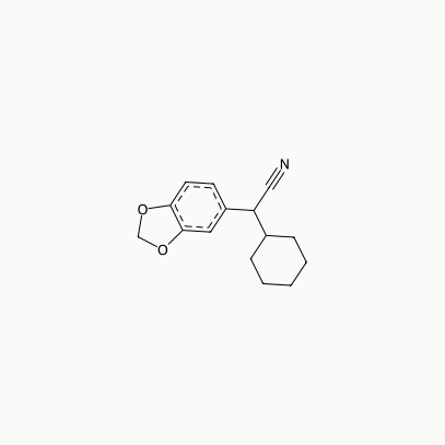 N#CC(c1ccc2c(c1)OCO2)C1CCCCC1